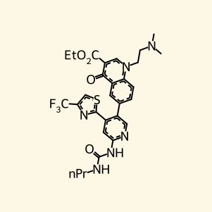 CCCNC(=O)Nc1cc(-c2nc(C(F)(F)F)cs2)c(-c2ccc3c(c2)c(=O)c(C(=O)OCC)cn3CCN(C)C)cn1